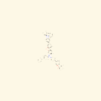 c1ccc(-c2ccc(N(c3ccc(-c4ccc5c(c4)oc4ccccc45)cc3)c3ccc4c(c3)oc3cc(-c5ccc6c(c5)c5cccc7c8ccccc8n6c75)ccc34)cc2)cc1